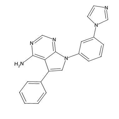 Nc1ncnc2c1c(-c1ccccc1)cn2-c1cccc(-n2ccnc2)c1